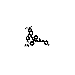 COc1cc2c(cc1OC)C(Cc1ccc(N)cc1)N(CCCC(CCCC(=O)CCc1ccc(F)cc1)(c1ccccc1)c1ccccc1)CC2.Cl.Cl